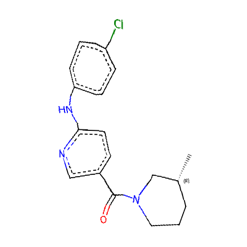 C[C@@H]1CCCN(C(=O)c2ccc(Nc3ccc(Cl)cc3)nc2)C1